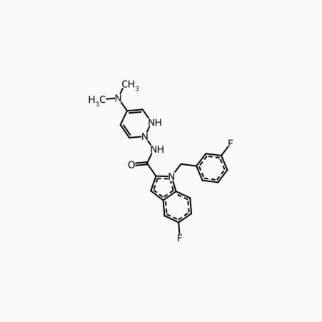 CN(C)C1=CNN(NC(=O)c2cc3cc(F)ccc3n2Cc2cccc(F)c2)C=C1